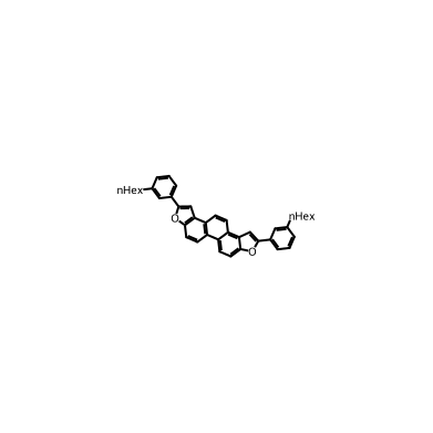 CCCCCCc1cccc(-c2cc3c(ccc4c3ccc3c5cc(-c6cccc(CCCCCC)c6)oc5ccc34)o2)c1